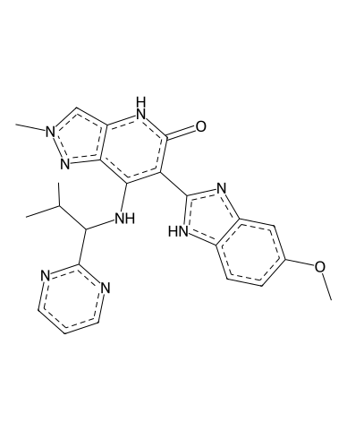 COc1ccc2[nH]c(-c3c(NC(c4ncccn4)C(C)C)c4nn(C)cc4[nH]c3=O)nc2c1